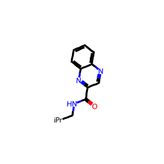 CC(C)CNC(=O)c1cnc2ccccc2n1